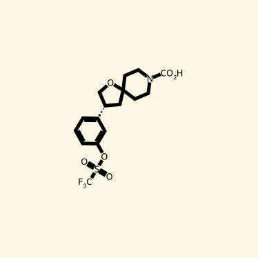 O=C(O)N1CCC2(CC1)C[C@H](c1cccc(OS(=O)(=O)C(F)(F)F)c1)CO2